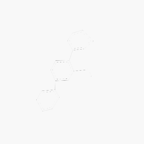 CSc1cc(-c2ccccc2)ccc1-c1ccccc1